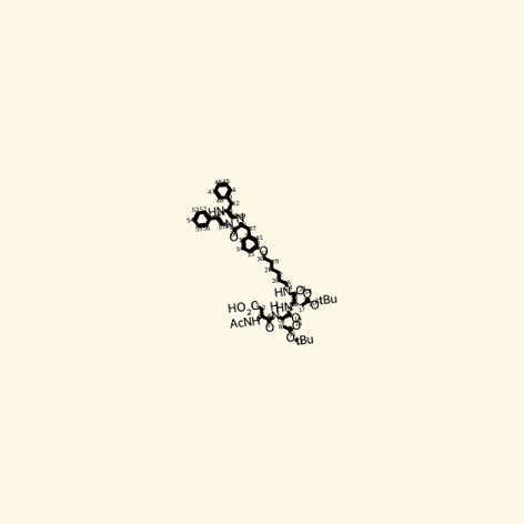 CC(=O)N[C@@H](CC(=O)O)C(=O)N[C@@H](CC(=O)OC(C)(C)C)C(=O)N[C@@H](CC(=O)OC(C)(C)C)C(=O)NCCCCCCOc1cccc(Cc2nc3c(Cc4ccccc4)[nH]c(-c4ccccc4)cn-3c2=O)c1